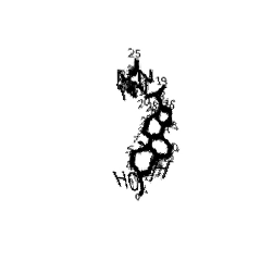 CC[C@@]1(O)CC[C@]2(C)C3=C(CC[C@H]2C1)C1=CC=C(C(C)Cn2nnc(C)n2)[C@]1(C)C=C3